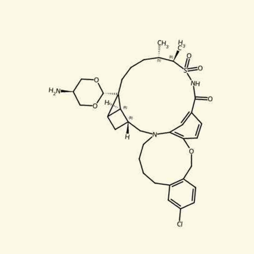 C[C@@H]1[C@@H](C)CCCC2([C@H]3OC[C@H](N)CO3)C3C[C@@H](CN4CCCCc5cc(Cl)ccc5COc5ccc(cc54)C(=O)NS1(=O)=O)[C@@H]32